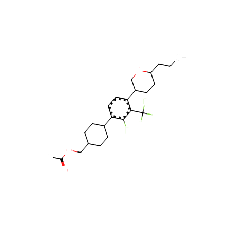 CCCC1CCC(c2ccc(C3CCC(COC(C)=O)CC3)c(F)c2C(F)(F)F)CO1